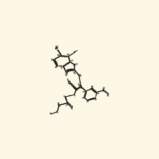 CCOC(=O)CCC(=O)N(Cc1nc2ccc(F)c(F)c2s1)c1cccc(SC)c1